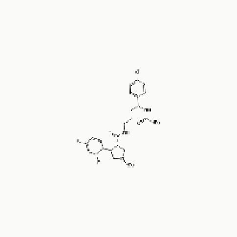 CC(C)(C)C(=O)NC(CCCNC(=O)[C@@H]1CN(C(C)(C)C)C[C@H]1C1C=CC(F)=CC1F)c1ccc(Cl)cc1